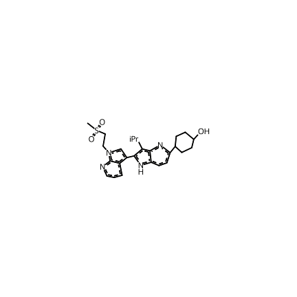 CC(C)c1c(-c2cn(CCS(C)(=O)=O)c3ncccc23)[nH]c2ccc(C3CCC(O)CC3)nc12